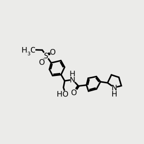 CCS(=O)(=O)c1ccc(C(CO)NC(=O)c2ccc(C3CCCN3)cc2)cc1